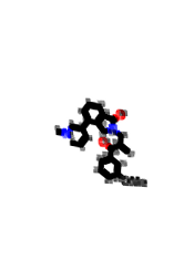 C=N/C=C(\C=C/C)c1cccc2c1CN(CC(=C)C(=O)c1cccc(OC)c1)C2=O